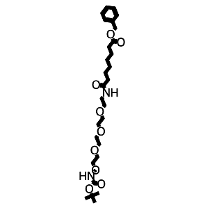 CC(C)(C)OC(=O)NOCCOCCOCCOCCNC(=O)CCCCCCC(=O)OCc1ccccc1